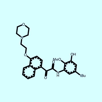 COc1c(O)cc(C(C)(C)C)cc1NC(=O)C(=O)c1ccc(OCCN2CCOCC2)c2ccccc12